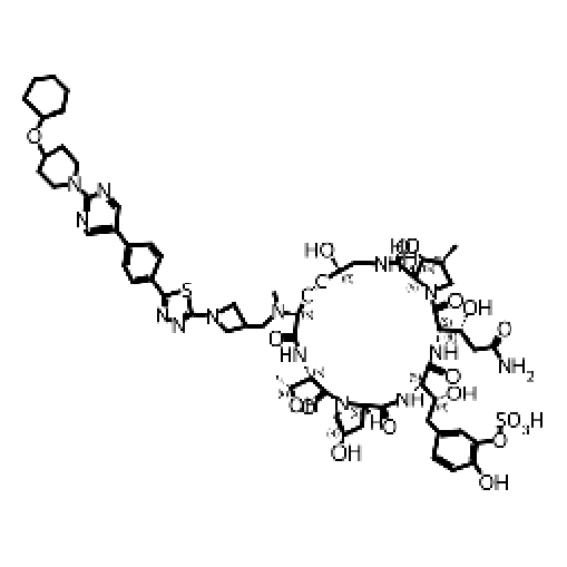 C[C@@H](O)[C@@H]1NC(=O)[C@@H](N(C)CC2CN(c3nnc(-c4ccc(-c5cnc(N6CCC(OC7CCCCC7)CC6)nc5)cc4)s3)C2)CC[C@@H](O)CNC(=O)[C@@H]2[C@@H](O)[C@@H](C)CN2C(=O)[C@H]([C@H](O)CC(N)=O)NC(=O)[C@H]([C@H](O)Cc2ccc(O)c(OS(=O)(=O)O)c2)NC(=O)[C@@H]2C[C@@H](O)CN2C1=O